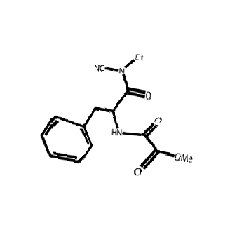 CCN(C#N)C(=O)C(Cc1ccccc1)NC(=O)C(=O)OC